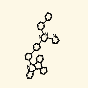 c1ccc(-c2cccc(-c3nc(-c4ccc(-c5cccc(-c6nc7ccccc7c7c8ccccc8c8ccccc8c67)c5)cc4)cc(-c4ccccn4)n3)c2)cc1